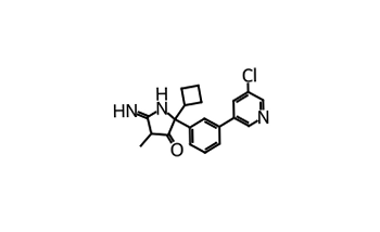 CC1C(=N)NC(c2cccc(-c3cncc(Cl)c3)c2)(C2CCC2)C1=O